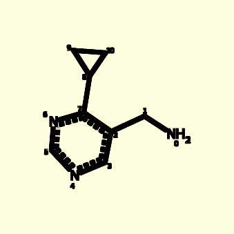 NCc1cncnc1C1CC1